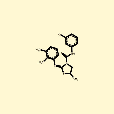 Cc1cccc(/N=C2/SC(C)CN2C(=S)Nc2cccc(Cl)c2)c1C